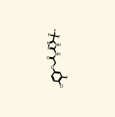 O=C(COc1ccc(Cl)c(F)c1)Nc1nnc(C(F)(F)F)[nH]1